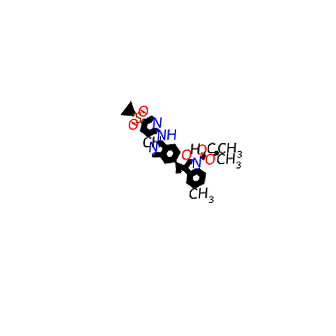 Cc1ccc2c(c1)[C@]1(C[C@H]1c1ccc3c(c1)CN=C3Nc1ncc(S(=O)(=O)C3CC3)cc1C)C(=O)N2C(=O)OC(C)(C)C